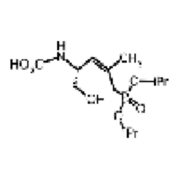 CC(=C[C@H](CO)NC(=O)O)CP(=O)(OC(C)C)OC(C)C